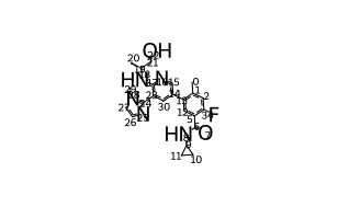 Cc1cc(F)c(C(=O)NC2CC2)cc1-c1cnc(N[C@@H](C)CO)c(-c2nccn2C)c1